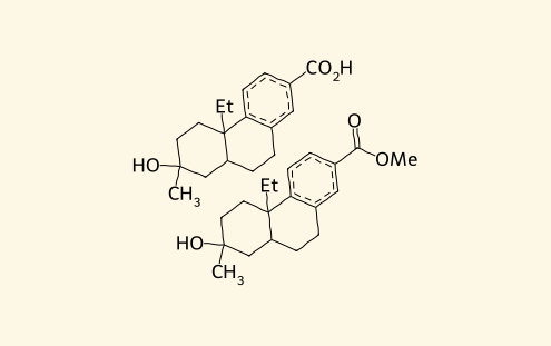 CCC12CCC(C)(O)CC1CCc1cc(C(=O)O)ccc12.CCC12CCC(C)(O)CC1CCc1cc(C(=O)OC)ccc12